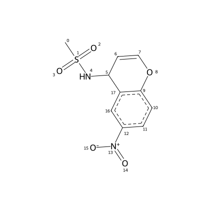 CS(=O)(=O)NC1C=COc2ccc([N+](=O)[O-])cc21